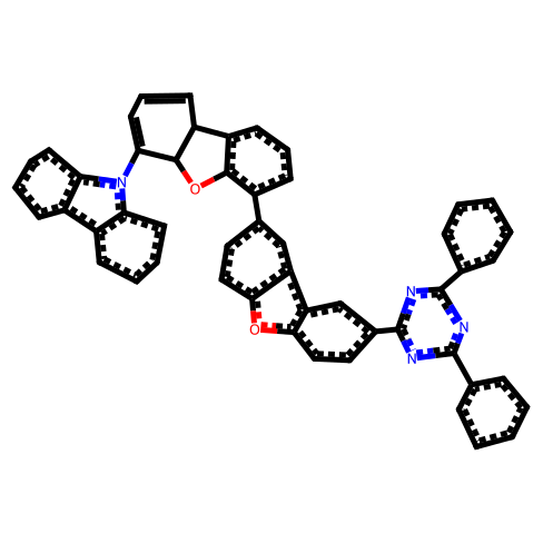 C1=CC2c3cccc(-c4ccc5oc6ccc(-c7nc(-c8ccccc8)nc(-c8ccccc8)n7)cc6c5c4)c3OC2C(n2c3ccccc3c3ccccc32)=C1